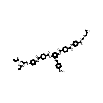 C=CC(=O)OCC(COc1ccc(OC(=O)C2CCC(C(=O)Oc3ccc(OC(=O)C4CCC(C(=O)Oc5ccc(C(=O)OCOCC6CO6)cc5)CC4)c4sc(-c5ccc([N+](=O)[O-])cc5)nc34)CC2)cc1)OC(=O)C=C